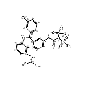 CCS(=O)(=O)N(C(=O)Nc1ccc2c(c1)C(c1cccc(Cl)c1)Oc1cccc(OC(F)F)c1-2)S(=O)(=O)CC